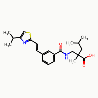 CC(C)CC(C)(CNC(=O)c1cccc(C=Cc2nc(C(C)C)cs2)c1)C(=O)O